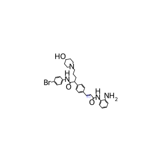 Nc1ccccc1NC(=O)/C=C/c1ccc(C(CCCN2CCC(O)CC2)C(=O)Nc2ccc(Br)cc2)cc1